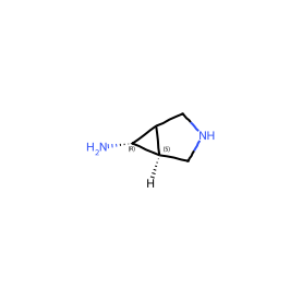 N[C@@H]1C2CNC[C@H]21